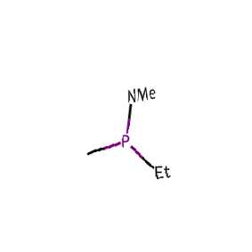 CCP(C)NC